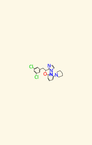 Clc1cc(Cl)cc(CC(Oc2cccc(N3CCCCC3)n2)c2ncc[nH]2)c1